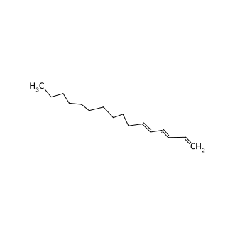 C=C/C=[C]/C=CCCCCCCCCCC